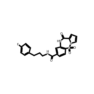 O=C(NCCCc1ccc(F)cc1)c1ccc2c(c1)NC(=O)c1cccn1S2(=O)=O